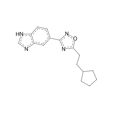 c1nc2cc(-c3noc(CCC4CCCC4)n3)ccc2[nH]1